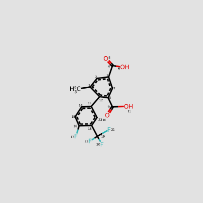 Cc1cc(C(=O)O)cc(C(=O)O)c1-c1ccc(F)c(C(F)(F)F)c1